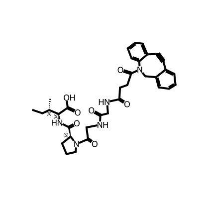 CC[C@H](C)[C@H](NC(=O)[C@@H]1CCCN1C(=O)CNC(=O)CNC(=O)CCC(=O)N1Cc2ccccc2C#Cc2ccccc21)C(=O)O